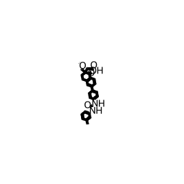 COCC1(CC(=O)O)CCc2cc(-c3ccc(NC(=O)Nc4cccc(C)c4)cc3)ccc2C1=O